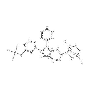 FC(F)(F)Oc1cccc(-c2nc3ccc(N4C[C@H]5CC[C@@H]4CN5)nc3n2-c2ccncc2)c1